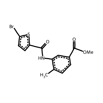 COC(=O)c1ccc(C)c(NC(=O)c2ccc(Br)s2)c1